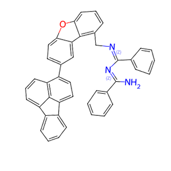 N/C(=N\C(=N/Cc1cccc2oc3ccc(-c4ccc5c6c(cccc46)-c4ccccc4-5)cc3c12)c1ccccc1)c1ccccc1